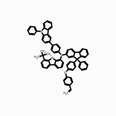 C=Cc1ccc(Oc2ccc(C3(c4ccccc4)c4ccccc4-c4ccc(N(c5ccc(-c6ccc7c(c6)c6ccccc6n7-c6ccccc6)cc5)c5cccc6c5oc5c(C(C)(C)C)cccc56)cc43)cc2)cc1